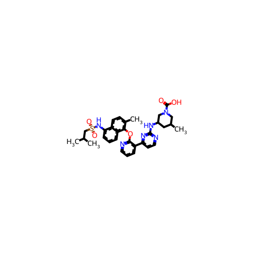 Cc1ccc2c(NS(=O)(=O)CC(C)C)cccc2c1Oc1ncccc1-c1ccnc(NC2CC(C)CN(C(=O)O)C2)n1